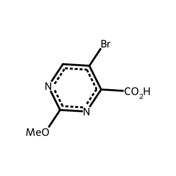 COc1ncc(Br)c(C(=O)O)n1